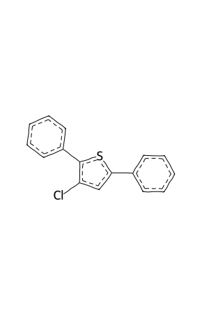 Clc1cc(-c2ccccc2)sc1-c1ccccc1